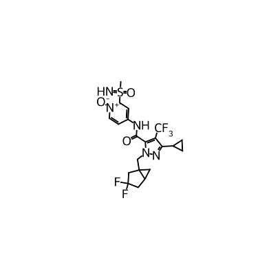 CS(=N)(=O)c1cc(NC(=O)c2c(C(F)(F)F)c(C3CC3)nn2CC23CC2CC(F)(F)C3)cc[n+]1[O-]